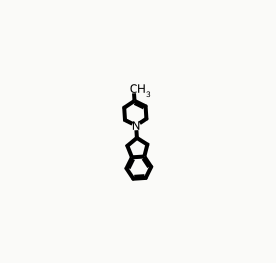 CC1=CCN(C2Cc3ccccc3C2)CC1